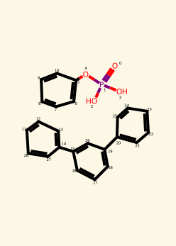 O=P(O)(O)Oc1ccccc1.c1ccc(-c2cccc(-c3ccccc3)c2)cc1